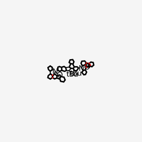 CC(C)(C)C1(C(C)(C)C)c2cc3cc(N(c4ccccc4-c4ccccc4)c4cccc5c4oc4ccccc45)ccc3cc2-c2c1c1ccc(N(c3ccccc3-c3ccccc3)c3cccc4c3oc3ccccc34)cc1c1ccccc21